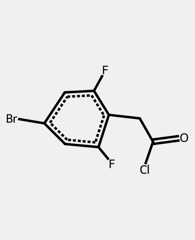 O=C(Cl)Cc1c(F)cc(Br)cc1F